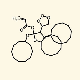 C=CC(=O)OC(OC1CCCCCCCCC1)(OC1CCCCCCCCC1)C(OC1CCCCCCCCC1)C1COOO1